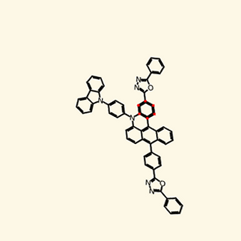 c1ccc(-c2nnc(-c3ccc(-c4c5ccccc5c(-c5ccc(-c6nnc(-c7ccccc7)o6)cc5)c5c(N(c6ccccc6)c6ccc(-n7c8ccccc8c8ccccc87)cc6)cccc45)cc3)o2)cc1